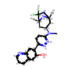 CN(c1ccc(-c2cc3ncccc3cc2O)nn1)[C@@H]1C[C@H]2CC(F)(F)[C@@H](C1)N2